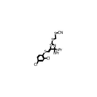 CCCC1(CCC)N=C(SCSC#N)SC1=CSc1ccc(Cl)cc1Cl